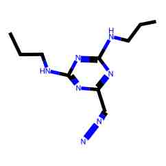 CCCNc1nc(C=[N+]=[N-])nc(NCCC)n1